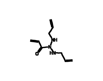 C=CCNN(NCC=C)C(=O)C=C